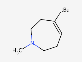 CN1CCC=C(C(C)(C)C)CC1